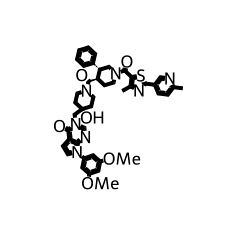 COc1cc(OC)cc(-n2ccc3c(=O)n(CC4(O)CCN(C(=O)[C@@H]5CCN(C(=O)c6sc(-c7ccc(C)nc7)nc6C)C[C@H]5c5ccccc5)CC4)cnc32)c1